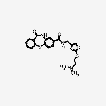 CN(C)CCSc1ncc(CNC(=O)c2ccc3c(c2)NC(=O)c2ccccc2S3)s1